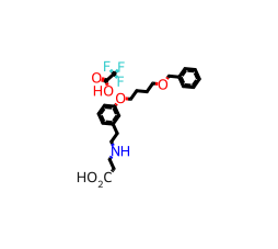 O=C(O)C(F)(F)F.O=C(O)CCNCCc1cccc(OCCCCOCc2ccccc2)c1